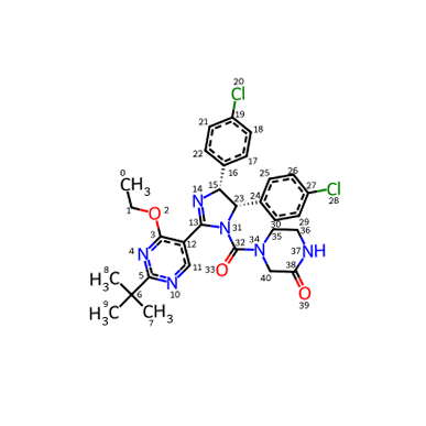 CCOc1nc(C(C)(C)C)ncc1C1=N[C@H](c2ccc(Cl)cc2)[C@H](c2ccc(Cl)cc2)N1C(=O)N1CCNC(=O)C1